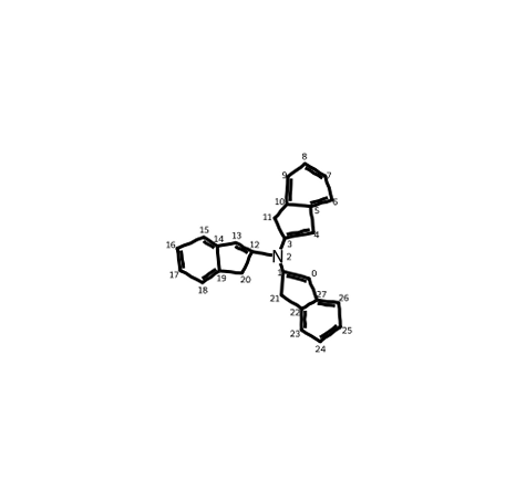 C1=C(N(C2=Cc3ccccc3C2)C2=Cc3ccccc3C2)Cc2ccccc21